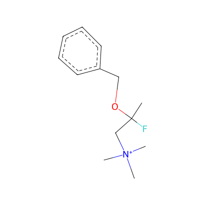 CC(F)(C[N+](C)(C)C)OCc1ccccc1